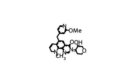 COc1cc(Cc2cc3c(=O)n([C@H]4CCOC[C@@H]4O)cnc3c3c2C=CCN3C)ccn1